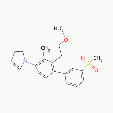 COCCc1c(-c2cccc(S(C)(=O)=O)c2)ccc(-n2cccc2)c1C